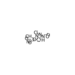 COC1=NOC(COc2cccc3c(NCc4ccco4)nc(Cl)nc23)C1